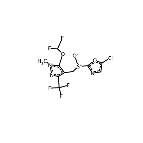 Cn1nc(C(F)(F)F)c(C[S+]([O-])c2ncc(Cl)o2)c1OC(F)F